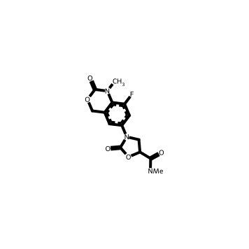 CNC(=O)C1CN(c2cc(F)c3c(c2)COC(=O)N3C)C(=O)O1